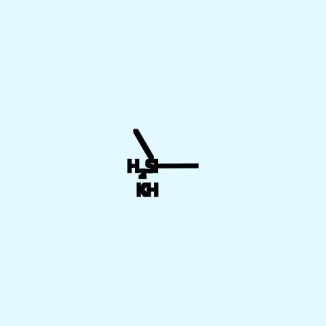 C[SiH2]C.[KH]